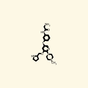 CN1CCN(c2ncc(Sc3cccc(NC(=O)CN)c3)cc2OCC2CCCN2)CC1